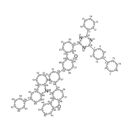 c1ccc(-c2ccc(-c3nc(-c4ccccc4)nc(-c4cccc5c4oc4ccc(-c6cccc(-c7ccc8oc9ccccc9c8c7-n7c8ccccc8c8cc(-c9ccccc9)ccc87)c6)cc45)n3)cc2)cc1